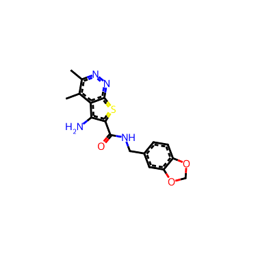 Cc1nnc2sc(C(=O)NCc3ccc4c(c3)OCO4)c(N)c2c1C